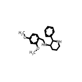 COc1ccc(CNC2CCCNC2c2ccccc2)c(OC)c1